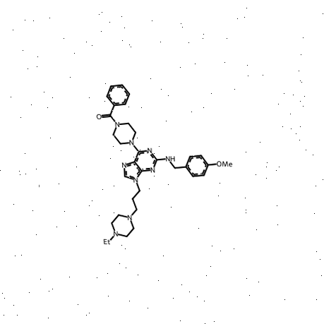 CCN1CCN(CCCn2cnc3c(N4CCN(C(=O)c5ccccc5)CC4)nc(NCc4ccc(OC)cc4)nc32)CC1